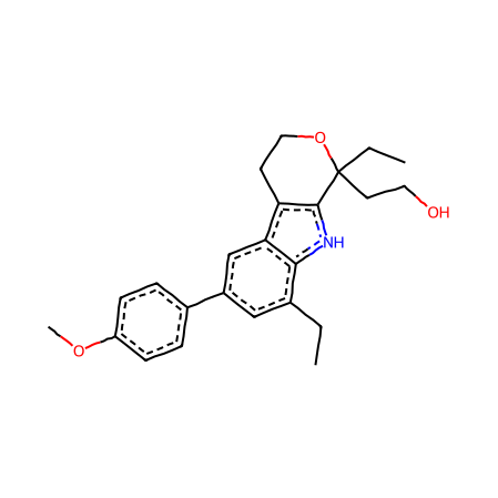 CCc1cc(-c2ccc(OC)cc2)cc2c3c([nH]c12)C(CC)(CCO)OCC3